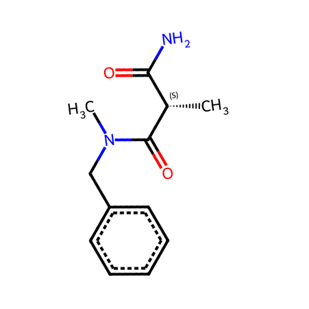 C[C@@H](C(N)=O)C(=O)N(C)Cc1ccccc1